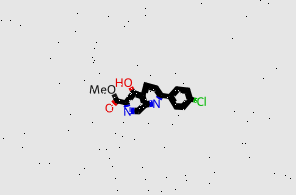 COC(=O)c1ncc2nc(-c3ccc(Cl)cc3)ccc2c1O